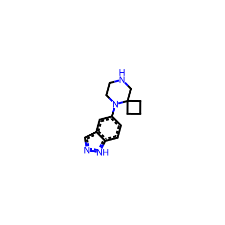 c1cc2[nH]ncc2cc1N1CCNCC12CCC2